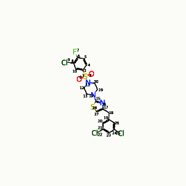 O=S(=O)(c1ccc(F)c(Cl)c1)N1CCN(c2nc(Cc3cc(Cl)cc(Cl)c3)cs2)CC1